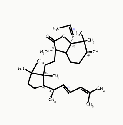 C/C=C\[C@@]12OC(=O)[C@](C)(CC[C@]3(C)[C@@H]([C@H](C)/C=C/C=C(C)C)CCC3(C)C)C1CC[C@H](O)C2(C)C